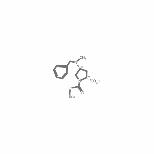 CN(Cc1ccccc1)[C@@H]1C[C@H](C(=O)O)N(C(=O)OC(C)(C)C)C1